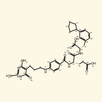 Nc1nc(N)c(CCCNc2ccc(C(=O)N[C@@H](CCC(=O)O)C(=O)N[C@@H](Cc3cccc(C4CCCC4)c3)C(=O)O)cc2)c(=O)[nH]1